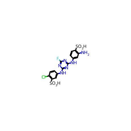 Nc1cc(Nc2nc(F)nc(Nc3ccc(Cl)c(S(=O)(=O)O)c3)n2)ccc1S(=O)(=O)O